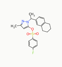 Cc1cc(OS(=O)(=O)c2ccc(F)cc2)n(C(C)c2ccc3c(c2)CCCC3)n1